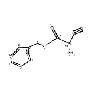 C#C[C@H](N)C(=O)OCc1ccccc1